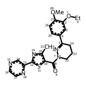 CCOc1cc(C2=NN(C(=O)c3sc(-c4cnccn4)nc3C)CCC2)ccc1OC